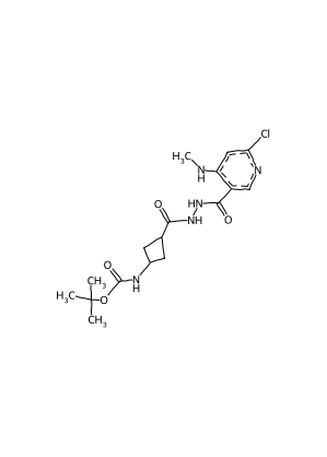 CNc1cc(Cl)ncc1C(=O)NNC(=O)C1CC(NC(=O)OC(C)(C)C)C1